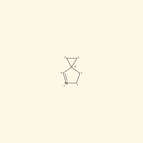 C1=NCCC12CC2